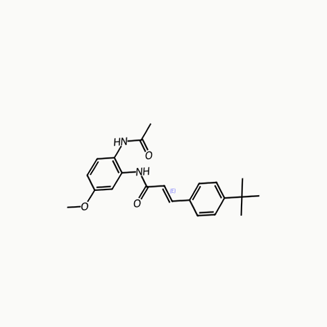 COc1ccc(NC(C)=O)c(NC(=O)/C=C/c2ccc(C(C)(C)C)cc2)c1